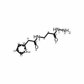 NNC(=O)CCNC(=O)Cc1cccs1